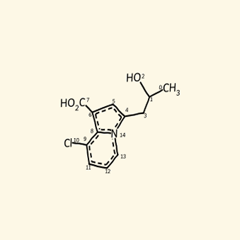 CC(O)Cc1cc(C(=O)O)c2c(Cl)cccn12